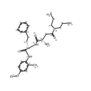 CCOc1ccc(NC(=O)[C@H](CCc2ccccc2)NC(=O)[C@@H](N)CC(=O)N(CCN)CCN)c(C)c1